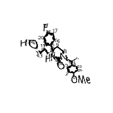 COc1ccc([C@H](C)N2CC[C@](CCCO)(c3ccc(F)cc3)NC2=O)cc1